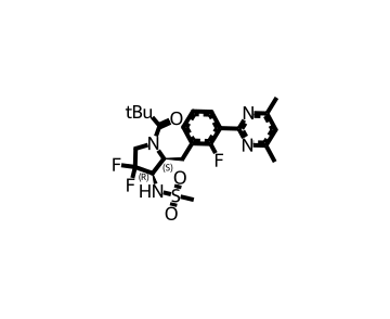 Cc1cc(C)nc(-c2cccc(C[C@H]3[C@@H](NS(C)(=O)=O)C(F)(F)CN3C(=O)C(C)(C)C)c2F)n1